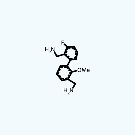 COc1c(CN)[c]ccc1-c1cccc(F)c1CN